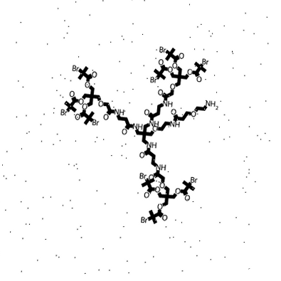 CC(C)(Br)C(=O)OCC(COCC(=O)NCCC(=O)NCC(CNC(=O)CCNC(=O)COCC(COC(=O)C(C)(C)Br)(COC(=O)C(C)(C)Br)COC(=O)C(C)(C)Br)(CNC(=O)CCNC(=O)COCC(COC(=O)C(C)(C)Br)(COC(=O)C(C)(C)Br)COC(=O)C(C)(C)Br)COCCNC(=O)CCOCCN)(COC(=O)C(C)(C)Br)COC(=O)C(C)(C)Br